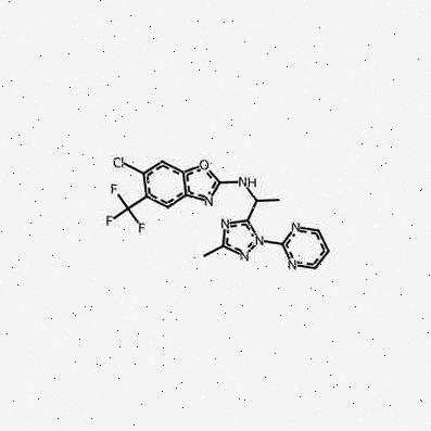 Cc1nc(C(C)Nc2nc3cc(C(F)(F)F)c(Cl)cc3o2)n(-c2ncccn2)n1